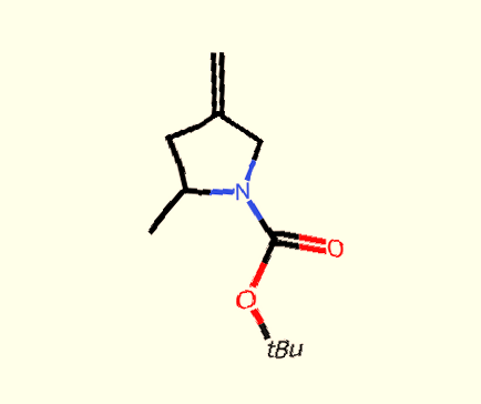 C=C1CC(C)N(C(=O)OC(C)(C)C)C1